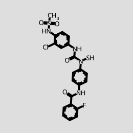 CS(=O)(=O)Nc1ccc(NC(=O)N(S)c2ccc(NC(=O)c3ccccc3F)cc2)cc1Cl